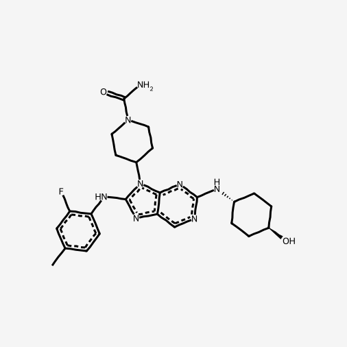 Cc1ccc(Nc2nc3cnc(N[C@H]4CC[C@H](O)CC4)nc3n2C2CCN(C(N)=O)CC2)c(F)c1